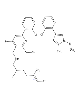 C=Nn1cc(-c2cccc(-c3cccc(-c4cc(F)c(CNCC(C)CC/C(C)=C/CC)c(CS)n4)c3Cl)c2Cl)cc1C